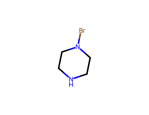 BrN1CCNCC1